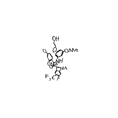 COc1cc(NC(C(=O)c2c[nH]c3cc(F)c(C(F)(F)F)cc23)c2ccc(Cl)cc2OC)cc(OCCO)c1